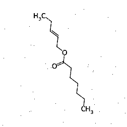 CCC=CCOC(=O)CCCCCC